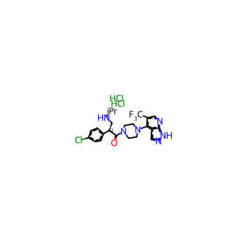 CC(C)NC[C@@H](C(=O)N1CCN(c2c(C(F)(F)F)cnc3[nH]ncc23)CC1)c1ccc(Cl)cc1.Cl.Cl